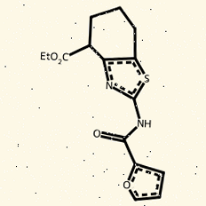 CCOC(=O)C1CCCc2sc(NC(=O)c3ccco3)nc21